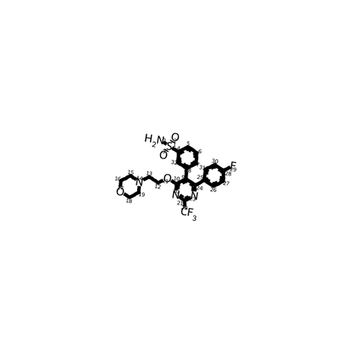 NS(=O)(=O)c1cccc(-c2c(OCCN3CCOCC3)nc(C(F)(F)F)nc2-c2ccc(F)cc2)c1